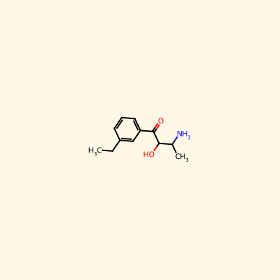 CCc1cccc(C(=O)C(O)C(C)N)c1